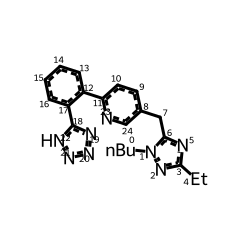 CCCCn1nc(CC)nc1Cc1ccc(-c2ccccc2-c2nnn[nH]2)nc1